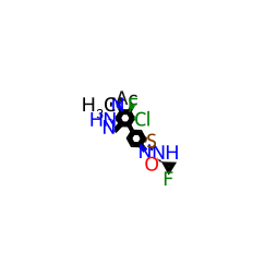 CC(=O)N(C)c1c(F)c(Cl)c(-c2ccc3nc(NC(=O)[C@@H]4C[C@@H]4F)sc3c2)c2cn[nH]c12